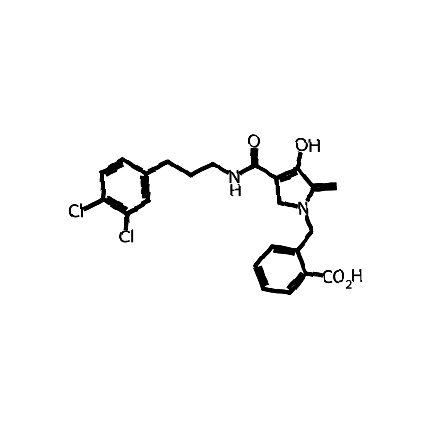 C=C1C(O)=C(C(=O)NCCCc2ccc(Cl)c(Cl)c2)CN1Cc1ccccc1C(=O)O